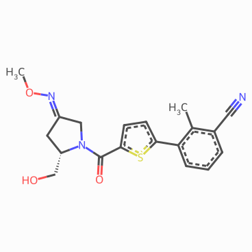 CO/N=C1\C[C@@H](CO)N(C(=O)c2ccc(-c3cccc(C#N)c3C)s2)C1